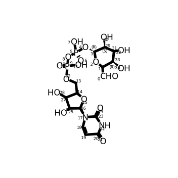 O=CC1O[C@H](OP(=O)(O)OP(=O)(O)OCC2OC(n3ccc(=O)[nH]c3=O)C(O)C2O)[C@@H](O)C(O)[C@H]1O